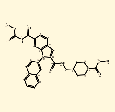 CC(C)(C)OC(=O)NC(=N)c1ccc2cc(C(=O)NCC3CCN(C(=O)OC(C)(C)C)CC3)n(-c3ccc4ccccc4c3)c2c1